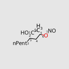 CC(=O)O.CCCCCCCCON=O